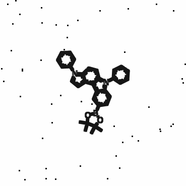 CC1(C)OB(c2ccc3c(c2)c2c4ccn(-c5ccccc5)c4ccc2n3-c2ccccc2)OC1(C)C